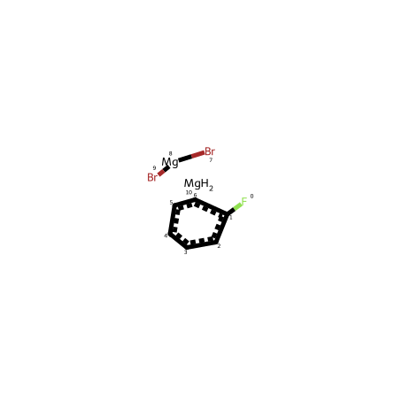 Fc1cc[c]cc1.[Br][Mg][Br].[MgH2]